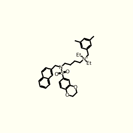 CC[N+](CC)(CCCCN(Cc1ccc2ccccc2c1)S(=O)(=O)c1ccc2c(c1)OCCO2)Cc1cc(C)cc(C)c1